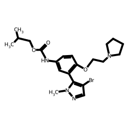 CC(C)COC(=O)Nc1ccc(OCCN2CCCC2)c(-c2c(Br)cnn2C)c1